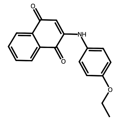 CCOc1ccc(NC2=CC(=O)c3ccccc3C2=O)cc1